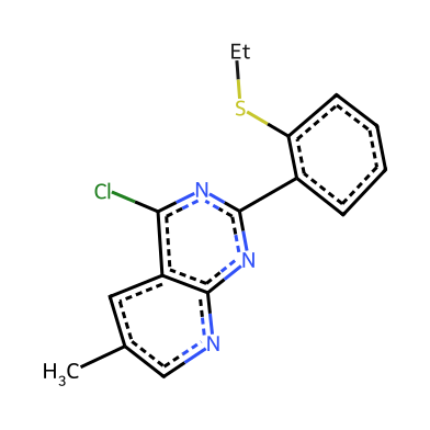 CCSc1ccccc1-c1nc(Cl)c2cc(C)cnc2n1